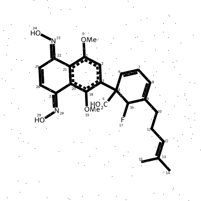 COc1cc(C2(C(=O)O)C=CC=C(CCC=C(C)C)C2F)c(OC)c2c1C(=NO)C=CC2=NO